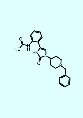 CC(=O)Nc1ccccc1-c1cn(C2CCN(Cc3ccccc3)CC2)c(=O)[nH]1